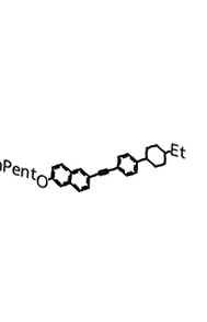 CCCCCOc1ccc2cc(C#Cc3ccc(C4CCC(CC)CC4)cc3)ccc2c1